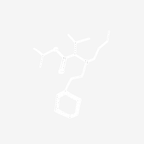 CCCCN(CCc1ccccc1)C(C(=O)OC(C)C)C(C)C